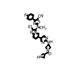 CCc1nc2ccc(-c3cnc(NC4CN(C(=O)C5CNC5)C4)nc3)cn2c1N(C)c1nc(-c2ccc(F)cc2)c(C#N)s1